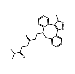 CC(C)C(=O)CCC(=O)CCC1Cc2ccccc2-c2nnn(C)c2-c2ccccc21